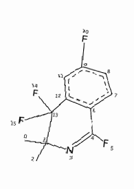 CC1(C)N=C(F)c2ccc(F)cc2C1(F)F